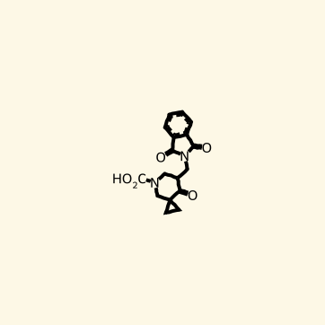 O=C(O)N1CC(CN2C(=O)c3ccccc3C2=O)C(=O)C2(CC2)C1